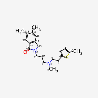 Cc1ccc(CCN(C)CCCN2Cc3cc(C)c(C)cc3C2=O)s1